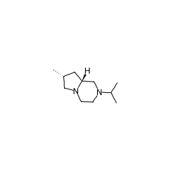 CC(C)N1CCN2C[C@H](C)C[C@@H]2C1